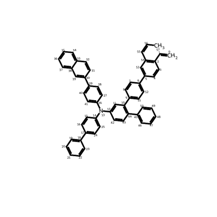 C=Cc1ccc(-c2ccc(-c3cc(N(c4ccc(-c5ccccc5)cc4)c4ccc(-c5ccc6ccccc6c5)cc4)ccc3-c3ccccc3)cc2)cc1/C=C\C